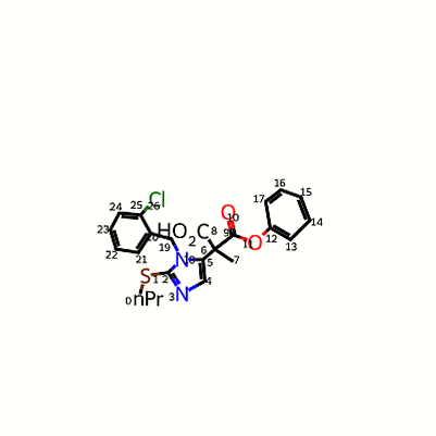 CCCSc1ncc(C(C)(C(=O)O)C(=O)Oc2ccccc2)n1Cc1ccccc1Cl